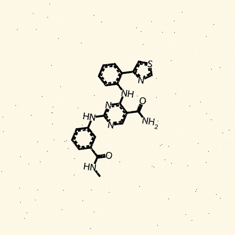 CNC(=O)c1cccc(Nc2ncc(C(N)=O)c(Nc3ccccc3-c3cscn3)n2)c1